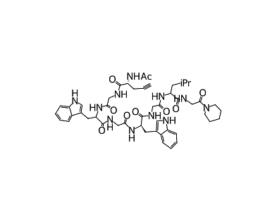 C#CC[C@@H](NC(C)=O)C(=O)NCC(=O)NC(Cc1c[nH]c2ccccc12)C(=O)NCC(=O)N[C@H](Cc1c[nH]c2ccccc12)C(=O)NCC(=O)NC(CC(C)C)C(=O)NCC(=O)N1CCCCC1